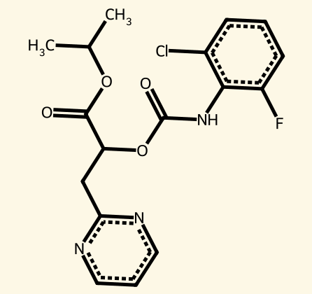 CC(C)OC(=O)C(Cc1ncccn1)OC(=O)Nc1c(F)cccc1Cl